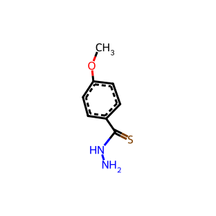 COc1ccc(C(=S)NN)cc1